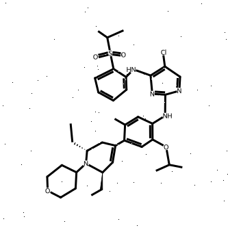 CC[C@@H]1CC(c2cc(OC(C)C)c(Nc3ncc(Cl)c(Nc4ccccc4S(=O)(=O)C(C)C)n3)cc2C)=C[C@@H](CC)N1C1CCOCC1